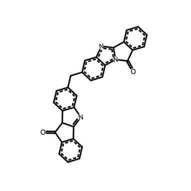 O=C1c2ccccc2C2=Nc3cc(Cc4ccc5c(c4)nc4n5C(=O)c5ccccc5-4)ccc3C12